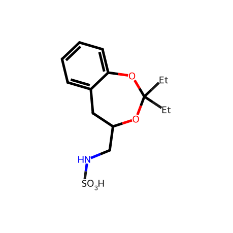 CCC1(CC)Oc2ccccc2CC(CNS(=O)(=O)O)O1